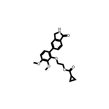 COc1ccc(-c2ccc3c(c2)CNC3=O)c(OCCOC(=O)C2CC2)c1OC